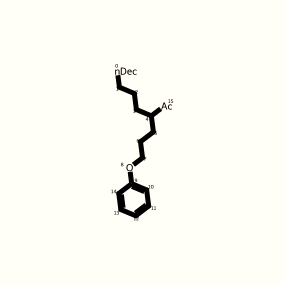 CCCCCCCCCCCCCC(CCCOc1ccccc1)C(C)=O